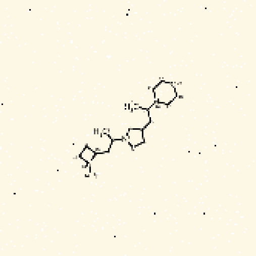 CC(CC1CCN(C(C)CC2CCN2C(C)C)C1)N1CCOCC1